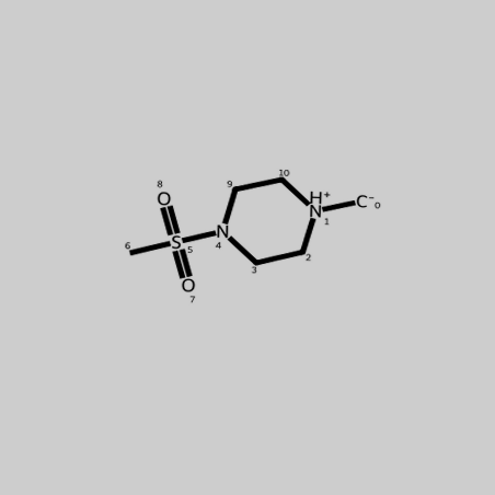 [CH2-][NH+]1CCN(S(C)(=O)=O)CC1